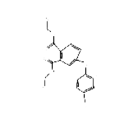 CCOC(=O)c1ccc(Oc2ccc(Cl)cc2)cc1C(=O)OCC